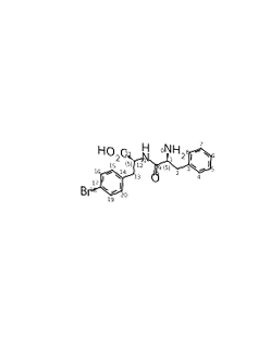 N[C@@H](Cc1ccccc1)C(=O)N[C@@H](Cc1ccc(Br)cc1)C(=O)O